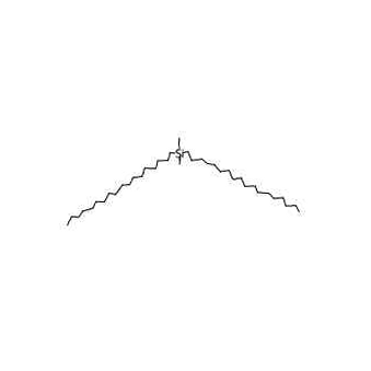 CCCCCCCCCCCCCCCCCC[Si](I)(I)CCCCCCCCCCCCCCCCCC